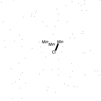 [Cl][Mn].[Mn].[Mn]